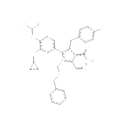 O=c1[nH]ncc2c1c(Cc1ccc(F)cc1)c(-c1ccc(OC(F)F)c(OC3CC3)c1)n2COCc1ccccc1